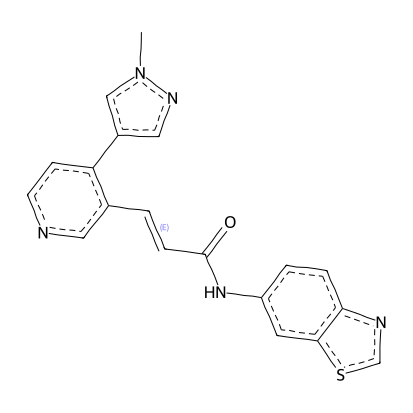 Cn1cc(-c2ccncc2/C=C/C(=O)Nc2ccc3ncsc3c2)cn1